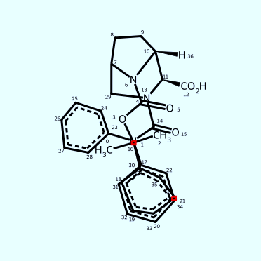 CC(C)(OC(=O)N1C2CC[C@@H]1[C@@H](C(=O)O)N(C(=O)N(c1ccccc1)c1ccccc1)C2)c1ccccc1